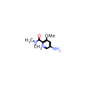 COc1cc(N)cnc1C(=O)N(C)C